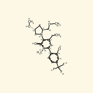 CCc1nc(-c2ccc(C(F)(F)F)cc2Cl)n(C)c(=O)c1N1C[C@H](OC)C[C@H]1COC